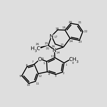 Cc1ccc2c(oc3ccccc32)c1N1C2CN(Cc3ccccc32)[C@@H]1C